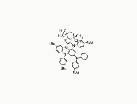 CC(C)(C)c1ccc(N(c2ccccc2)c2cc3c4c(c2)N(c2ccc(C(C)(C)C)cc2)c2c(sc5c2C(C)(C)CCC5(C)C)B4c2cc(C(C)(C)C)ccc2N3c2ccc(C(C)(C)C)cc2)cc1